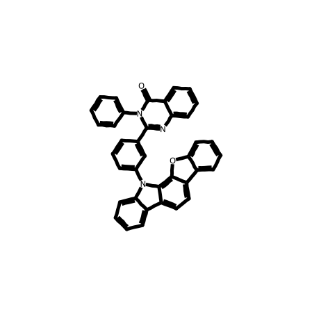 O=c1c2ccccc2nc(-c2cccc(-n3c4ccccc4c4ccc5c6ccccc6oc5c43)c2)n1-c1ccccc1